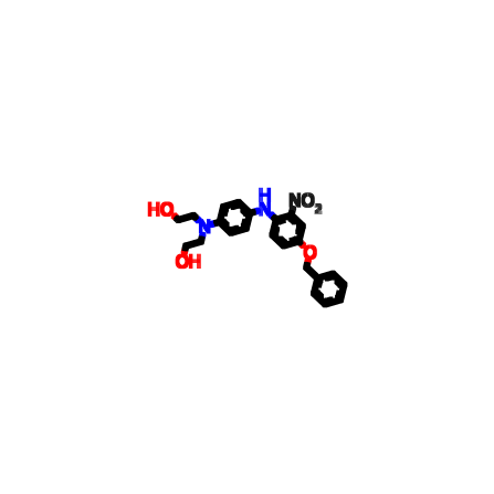 O=[N+]([O-])c1cc(OCc2ccccc2)ccc1Nc1ccc(N(CCO)CCO)cc1